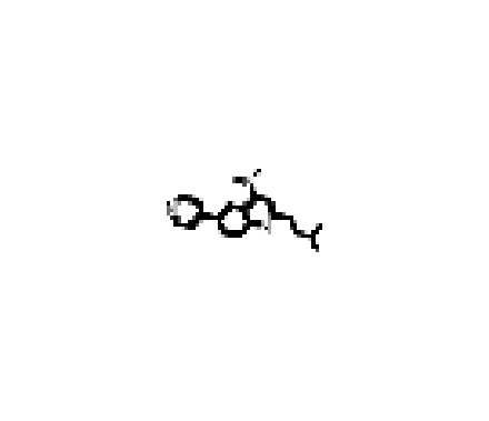 CC(C)CCc1cc(N(C)C)c2cc(-c3ccncc3)ccc2n1